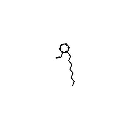 C=Cc1ccccc1CCCCCCCC